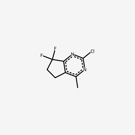 Cc1nc(Cl)nc2c1CCC2(F)F